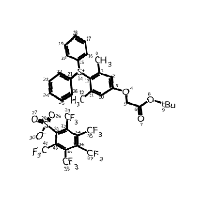 Cc1cc(OCC(=O)OC(C)(C)C)cc(C)c1[S+](c1ccccc1)c1ccccc1.O=S(=O)([O-])c1c(C(F)(F)F)c(C(F)(F)F)c(C(F)(F)F)c(C(F)(F)F)c1C(F)(F)F